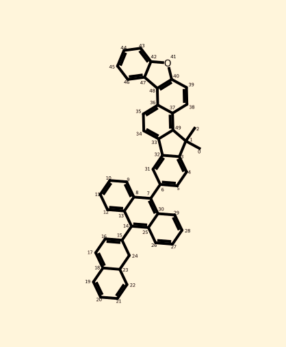 CC1(C)c2ccc(-c3c4ccccc4c(C4=CC=C5C=CC=CC5C4)c4ccccc34)cc2-c2ccc3c(ccc4oc5ccccc5c43)c21